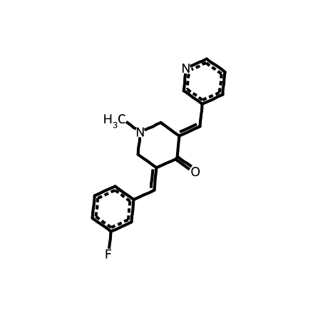 CN1C/C(=C\c2cccnc2)C(=O)/C(=C/c2cccc(F)c2)C1